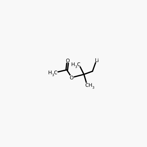 [Li][CH2]C(C)(C)OC(C)=O